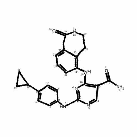 NC(=O)c1cnc(Nc2ccc(C3CC3)cc2)nc1Nc1cccc2c1CCNC2=O